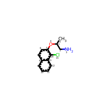 CC(CN)Oc1ccc2ccccc2c1Cl